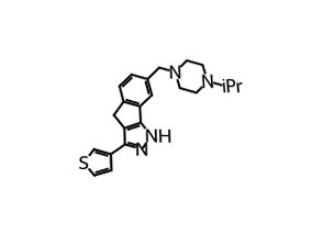 CC(C)N1CCN(Cc2ccc3c(c2)-c2[nH]nc(-c4ccsc4)c2C3)CC1